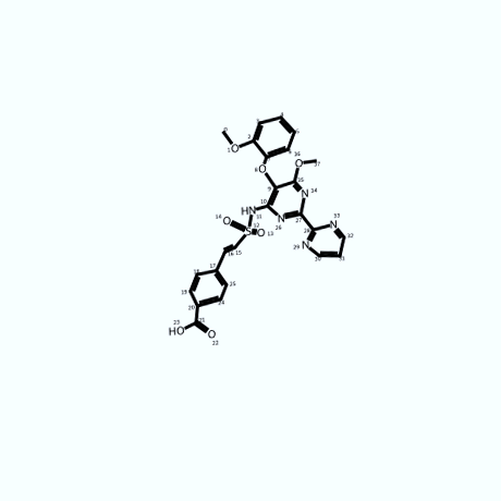 COc1ccccc1Oc1c(NS(=O)(=O)/C=C/c2ccc(C(=O)O)cc2)nc(-c2ncccn2)nc1OC